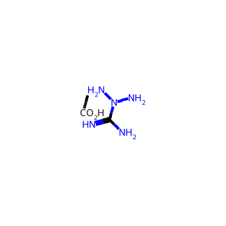 CC(=O)O.N=C(N)N(N)N